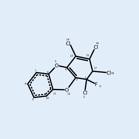 FC1(Cl)C2=C(Oc3ccccc3O2)C(Cl)=C(Cl)C1Cl